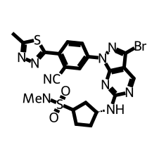 CNS(=O)(=O)C1CC[C@@H](Nc2ncc3c(Br)nn(-c4ccc(-c5nnc(C)s5)c(C#N)c4)c3n2)C1